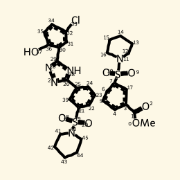 COC(=O)c1cccc(S(=O)(=O)N2CCCCC2)c1.O=S(=O)(c1cccc(-c2nnc(-c3cc(Cl)ccc3O)[nH]2)c1)N1CCCCC1